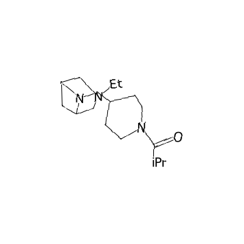 CCN1CC2CC(C1)N2CC1CCN(C(=O)C(C)C)CC1